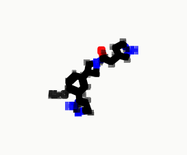 COc1ccc(C2CN(C(=O)CC3CCNC3)C2)cc1-c1ccn[nH]1